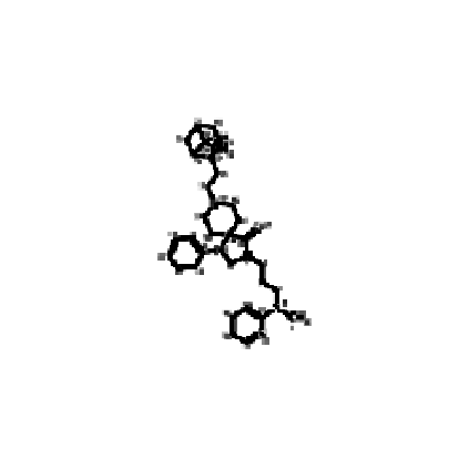 CN(CCCN1CN(c2ccccc2)C2(CCN(CCC3CCC4CC3C4(C)C)CC2)C1=O)c1ccccn1